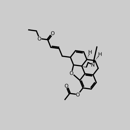 CCOC(=O)/C=C/CC1C=C[C@H]2[C@H]3Cc4ccc(OC(C)=O)c5c4[C@@]2(CCN3C)C1O5